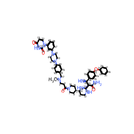 CN(CCC(=O)N1CCC([C@@H]2CCN/C(=C(/C(=N)c3ccc(Oc4ccccc4)cc3)C(N)=O)N2)CC1)Cc1ccc(N2CCN(c3cccc(N4CCC(=O)NC4=O)c3)CC2)cc1